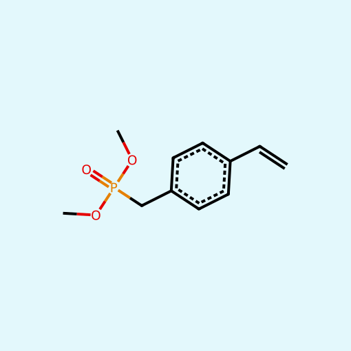 C=Cc1ccc(CP(=O)(OC)OC)cc1